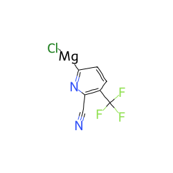 N#Cc1n[c]([Mg][Cl])ccc1C(F)(F)F